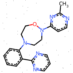 Cc1nccc(N2CCN(c3ccccc3-c3ncccn3)CCO2)n1